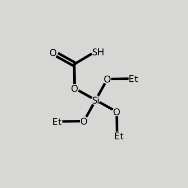 CCO[Si](OCC)(OCC)OC(=O)S